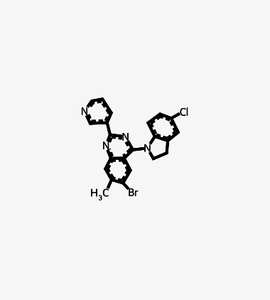 Cc1cc2nc(-c3cccnc3)nc(N3CCc4cc(Cl)ccc43)c2cc1Br